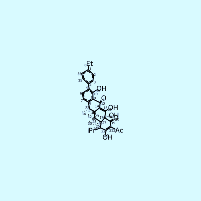 CCc1ccc(-c2ccc3c(c2O)C(=O)C2=C(O)[C@@]4(O)C(=O)C(C(C)=O)=C(O)C(C(C)C)[C@@]4(C)[C@H](C)[C@@]2(C)[C@@H]3C)cc1